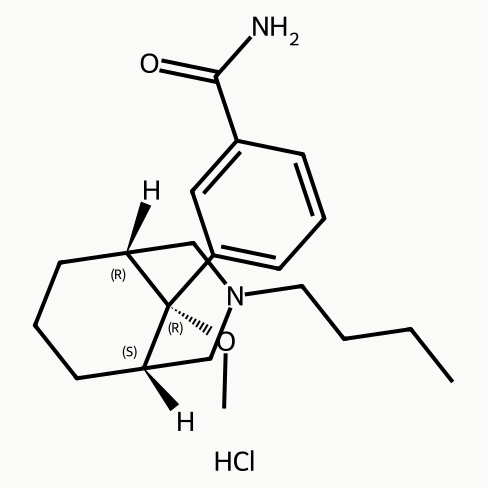 CCCCN1C[C@H]2CCC[C@@H](C1)[C@]2(OC)c1cccc(C(N)=O)c1.Cl